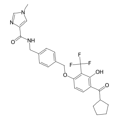 Cn1cnc(C(=O)NCc2ccc(COc3ccc(C(=O)C4CCCC4)c(O)c3C(F)(F)F)cc2)c1